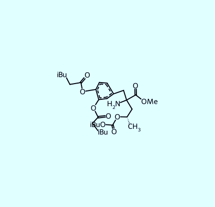 CCC(C)CC(=O)Oc1ccc(CC(N)(C[C@H](C)OC(=O)OCC(C)C)C(=O)OC)cc1OC(=O)CC(C)CC